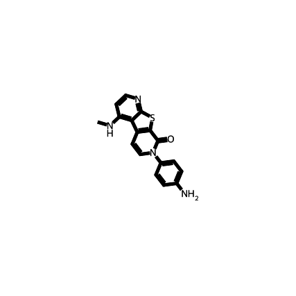 CNc1ccnc2sc3c(=O)n(-c4ccc(N)cc4)ccc3c12